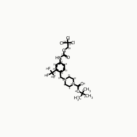 CC(C)(C)OC(=O)N1CCN(Cc2ccc(NC(=O)OCC(Cl)(Cl)Cl)cc2C(F)(F)F)CC1